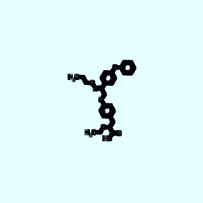 CCCON=C(COc1ccc(CC(OCC)C(=O)O)cc1)c1ccc(Oc2ccccc2)cc1